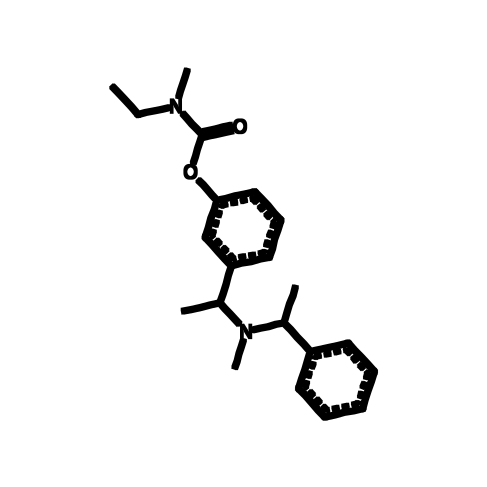 CCN(C)C(=O)Oc1cccc(C(C)N(C)C(C)c2ccccc2)c1